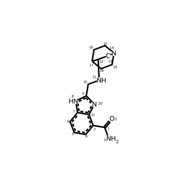 NC(=O)c1cccc2[nH]c(CNC3CN4CCC3CC4)nc12